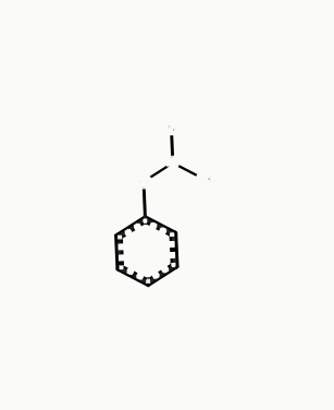 NB(O)Oc1ccccc1